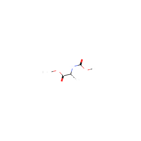 CCCC(C)OC(=O)C(NC(=O)OC(C)(C)C)C(C)C